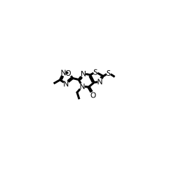 CCn1c(-c2nc(C)no2)nc2sc(SC)nc2c1=O